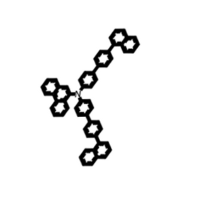 c1ccc2c(-c3ccc(-c4ccc(N(c5ccc(-c6ccc(-c7cccc8ccccc78)cc6)cc5)c5cc6ccccc6c6ccccc56)cc4)cc3)cccc2c1